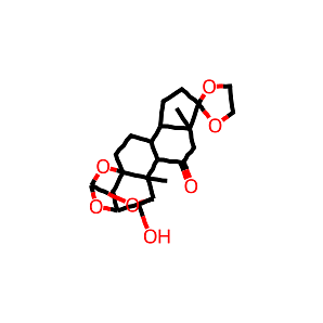 CC12CC(=O)C3C(CCC45CC6OC(OC(C6O)C34C)O5)C1CCC21OCCO1